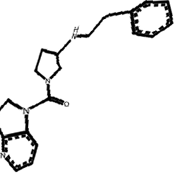 O=C(N1CCC(NCCc2ccccc2)C1)N1CCc2ncccc21